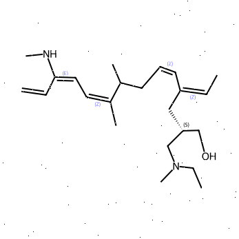 C=C/C(=C\C=C(\C)C(C)C/C=C\C(=C/C)C[C@H](CO)CN(C)CC)NC